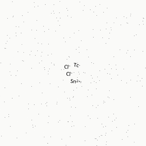 [Cl-].[Cl-].[Sn+2].[Tc]